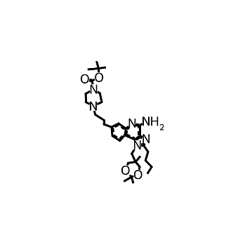 CCCCc1nc2c(N)nc3cc(CCCN4CCN(C(=O)OC(C)(C)C)CC4)ccc3c2n1CC1(C)COC(C)(C)OC1